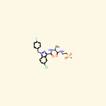 CC(C)(C)C(NC(=O)c1nn(Cc2ccc(F)cc2)c2ccc(Cl)cc12)C(=O)NCCS(C)(=O)=O